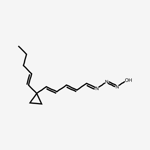 CCC/C=C/C1(/C=C/C=C/C=N/N=N/O)CC1